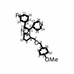 COc1ccc(COCC2CCc3nc(-c4cccc(F)c4)c(-c4ccncc4)n32)cc1